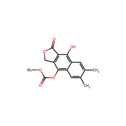 Cc1cc2c(O)c3c(c(OC(=O)OC(C)(C)C)c2cc1C)COC3=O